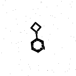 [c]1ccc(N2CCC2)cn1